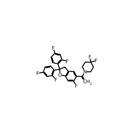 C=C(c1cc2c(cc1F)OC(c1ccc(F)cc1F)(c1ccc(F)cc1F)C2)N1CCC(F)(F)CC1